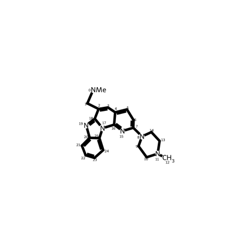 CNCc1cc2ccc(N3CCN(C)CC3)nc2n2c1nc1ccccc12